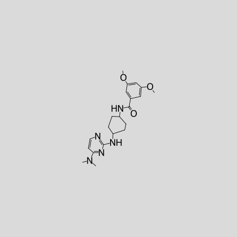 COc1cc(OC)cc(C(=O)NC2CCC(Nc3nccc(N(C)C)n3)CC2)c1